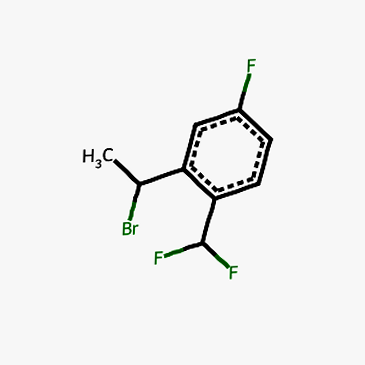 CC(Br)c1cc(F)ccc1C(F)F